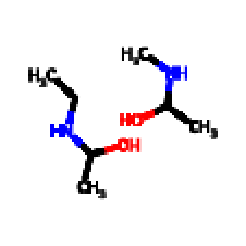 CCNC(C)O.CNC(C)O